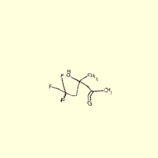 CC(=O)C(C)(O)CC(F)(F)F